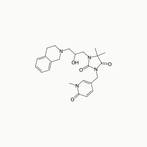 Cn1cc(CN2C(=O)N(CC(O)CN3CCc4ccccc4C3)C(C)(C)C2=O)ccc1=O